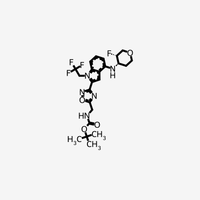 CC(C)(C)OC(=O)NCc1nc(-c2cc3c(N[C@H]4CCOC[C@H]4F)cccc3n2CC(F)(F)F)no1